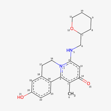 Cc1c2n(c(NCC3CCCCO3)cc1=O)CCc1cc(O)ccc1-2